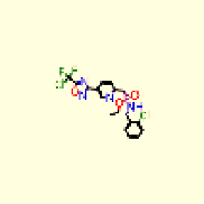 CCOP(=O)(Cc1ccc(-c2noc(C(F)(F)Cl)n2)cn1)NCc1ccccc1Cl